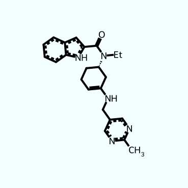 CCN(C(=O)c1cc2ccccc2[nH]1)[C@H]1CCC=C(NCc2cnc(C)nc2)C1